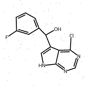 OC(c1cccc(F)c1)c1c[nH]c2ncnc(Cl)c12